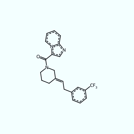 O=C(c1cnc2ccccn12)N1CCCC(=CCc2cccc(C(F)(F)F)c2)C1